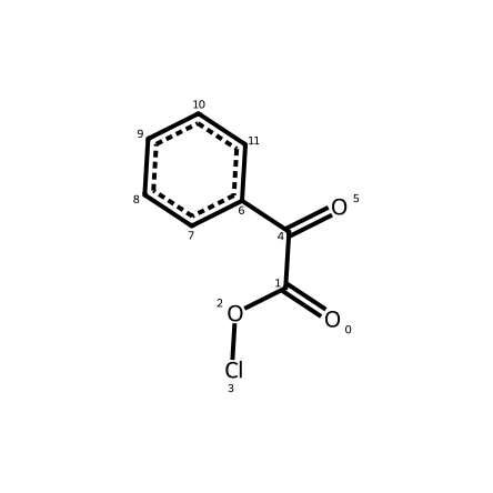 O=C(OCl)C(=O)c1ccccc1